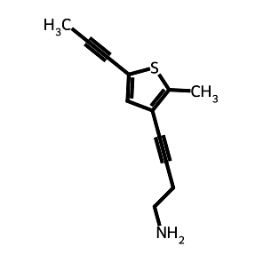 CC#Cc1cc(C#CCCN)c(C)s1